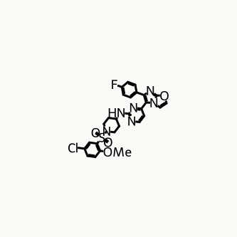 COc1ccc(Cl)cc1S(=O)(=O)N1CCC(Nc2nccc(-c3c(-c4ccc(F)cc4)nc4occn34)n2)CC1